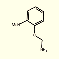 CNc1ccccc1OCN